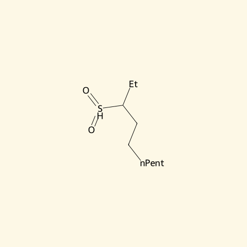 CCCCCCCC(CC)[SH](=O)=O